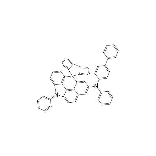 c1ccc(-c2ccc(N(c3ccccc3)c3cc4c5c(ccc6c5c5c(cccc5n6-c5ccccc5)C45c4ccccc4-c4ccccc45)c3)cc2)cc1